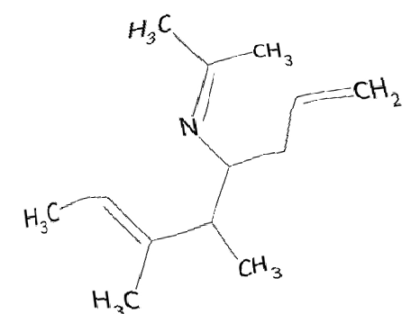 C=CCC(N=C(C)C)C(C)/C(C)=C/C